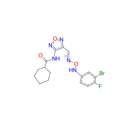 O=C(Nc1nonc1/C=N/ONc1ccc(F)c(Br)c1)C1CCCCC1